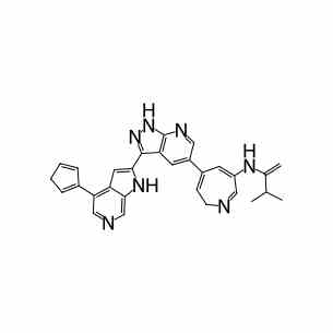 C=C(NC1=CC(c2cnc3[nH]nc(-c4cc5c(C6=CCC=C6)cncc5[nH]4)c3c2)=CCN=C1)C(C)C